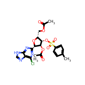 CC(=O)OC[C@H]1O[C@@H](c2nc(Cl)c3nc[nH]c3n2)[C@H](OC(C)=O)[C@H]1OS(=O)(=O)c1ccc(C)cc1